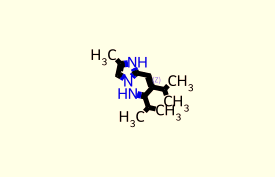 Cc1cnc(/C=C(\C(=N)C(C)C)C(C)C)[nH]1